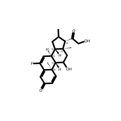 CC1C[C@H]2[C@@H]3C=C(F)C4=CC(=O)C=C[C@]4(C)[C@H]3C(O)C[C@]2(C)[C@H]1C(=O)CO